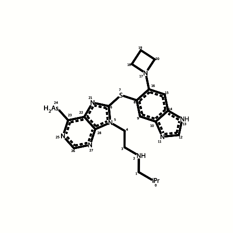 CC(C)CNCCn1c(Sc2cc3nc[nH]c3cc2N2CCC2)nc2c([AsH2])ncnc21